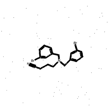 N#CCCCN(Cc1cccc(Br)c1)Cc1cccc(Br)c1